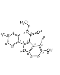 CCOC(=O)c1c(-c2ccc(F)cc2)oc2ccc(O)c(F)c12